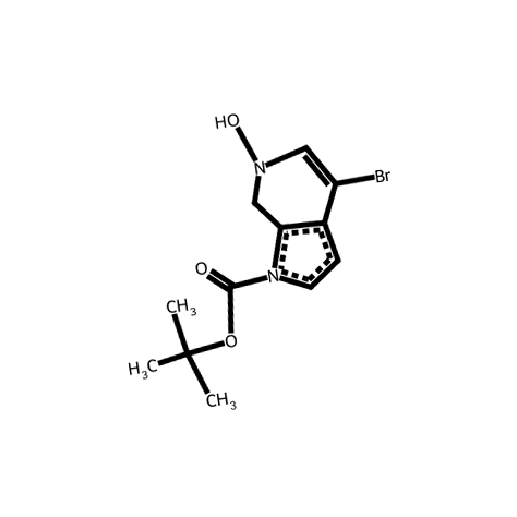 CC(C)(C)OC(=O)n1ccc2c1CN(O)C=C2Br